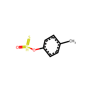 Cc1ccc(O[SH](=O)=S)cc1